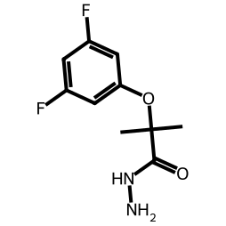 CC(C)(Oc1cc(F)cc(F)c1)C(=O)NN